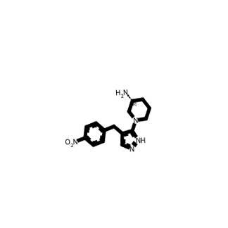 N[C@@H]1CCCN(c2[nH]ncc2Cc2ccc([N+](=O)[O-])cc2)C1